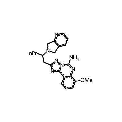 CCCC(Cc1nc2c3cccc(OC)c3nc(N)n2n1)N1Cc2cccnc2C1